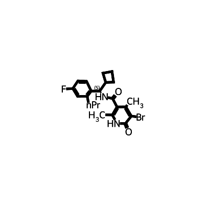 CCCc1cc(F)ccc1[C@@H](NC(=O)c1c(C)[nH]c(=O)c(Br)c1C)C1CCC1